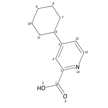 O=C(O)c1cc(C2CCCCC2)ccn1